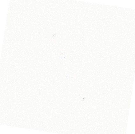 C=C(C)C(=O)OCCCOC(=O)C(=O)NCCC(C)CC(C)(C)CNC(=O)C(=O)OCCCOC(=O)C(=C)C